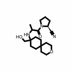 CC(NC1(CO)CCC2(CCOCC2)CC1)C(=O)N1CCC[C@H]1C#N